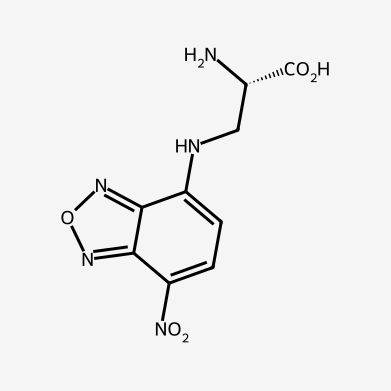 N[C@@H](CNc1ccc([N+](=O)[O-])c2nonc12)C(=O)O